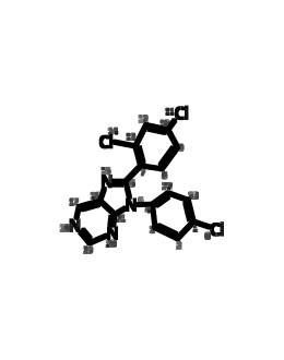 Clc1ccc(-n2c(-c3ccc(Cl)cc3Cl)nc3cncnc32)cc1